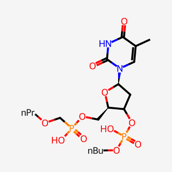 CCCCOP(=O)(O)OC1C[C@H](n2cc(C)c(=O)[nH]c2=O)O[C@@H]1COP(=O)(O)COCCC